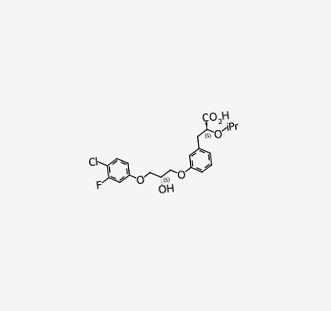 CC(C)O[C@@H](Cc1cccc(OC[C@H](O)COc2ccc(Cl)c(F)c2)c1)C(=O)O